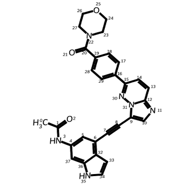 CC(=O)Nc1cc(C#Cc2cnc3ccc(-c4ccc(C(=O)N5CCOCC5)cc4)nn23)c2cc[nH]c2c1